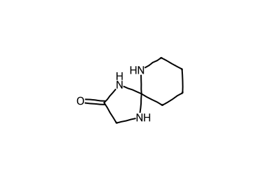 O=C1CNC2(CCCCN2)N1